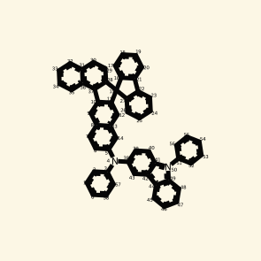 c1ccc(N(c2ccc3cc4c(cc3c2)C2(c3ccccc3-c3ccccc32)c2ccc3ccccc3c2-4)c2ccc3c(c2)c2ccccc2n3-c2ccccc2)cc1